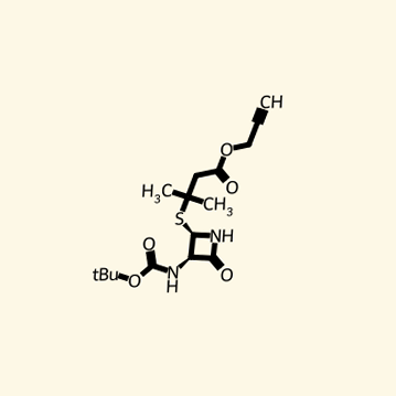 C#CCOC(=O)CC(C)(C)S[C@H]1NC(=O)[C@H]1NC(=O)OC(C)(C)C